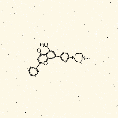 CN1CCN(c2ccc(-c3cc(O)c4c(=O)cc(-c5ccccc5)oc4c3)cc2)CC1